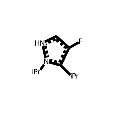 CC(C)c1c(F)c[nH][n+]1C(C)C